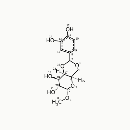 CO[C@H]1O[C@@H]2COC(c3ccc(O)c(O)c3)O[C@@H]2[C@H](O)[C@H]1O